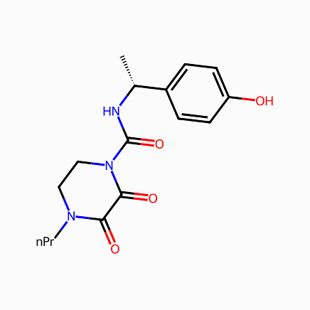 CCCN1CCN(C(=O)N[C@H](C)c2ccc(O)cc2)C(=O)C1=O